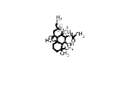 C=C[C@@]1(C)CC(=O)C2C3(C)CCCC(C)(C)C3C(O)C(OC(C)=O)C2(C)O1